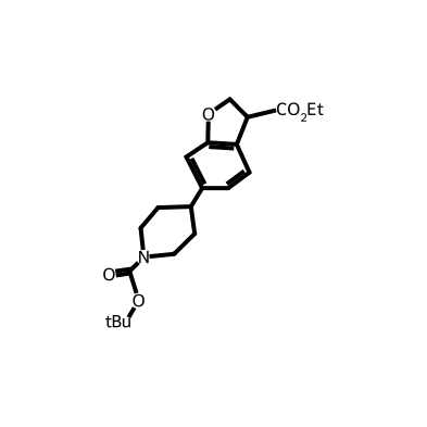 CCOC(=O)C1COc2cc(C3CCN(C(=O)OC(C)(C)C)CC3)ccc21